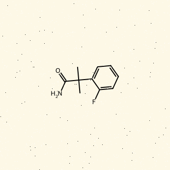 CC(C)(C(N)=O)c1ccccc1F